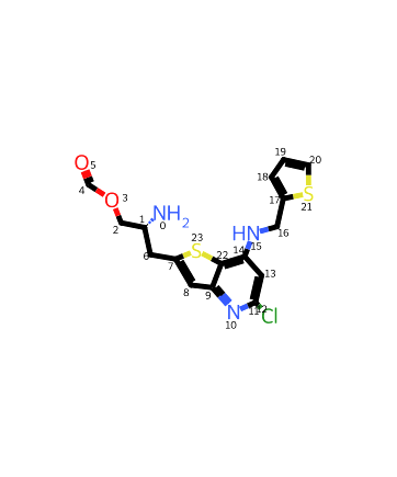 N[C@@H](COC=O)Cc1cc2nc(Cl)cc(NCc3cccs3)c2s1